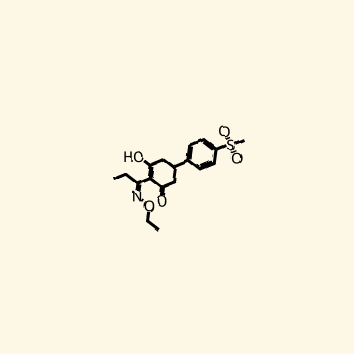 CCO/N=C(/CC)C1=C(O)CC(c2ccc(S(C)(=O)=O)cc2)CC1=O